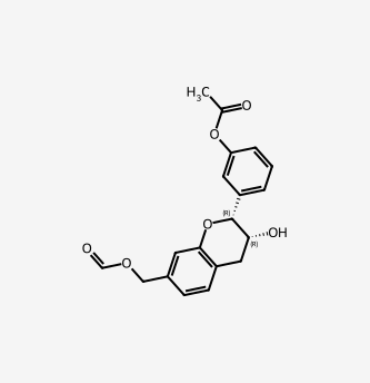 CC(=O)Oc1cccc([C@H]2Oc3cc(COC=O)ccc3C[C@H]2O)c1